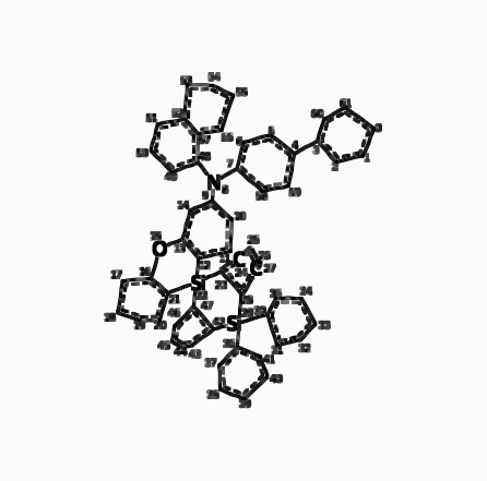 c1ccc(-c2ccc(N(c3ccc4c(c3)Oc3ccccc3[Si]43c4ccccc4[Si](c4ccccc4)(c4ccccc4)c4ccccc43)c3cccc4ccccc34)cc2)cc1